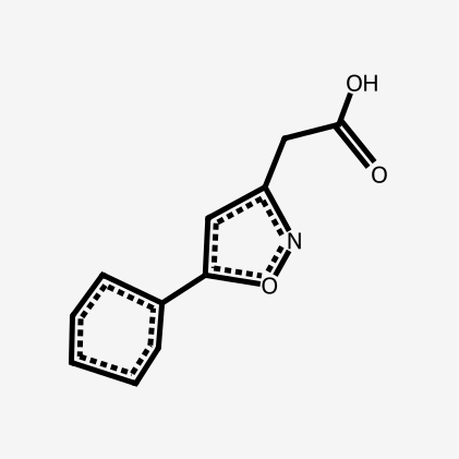 O=C(O)Cc1cc(-c2ccccc2)on1